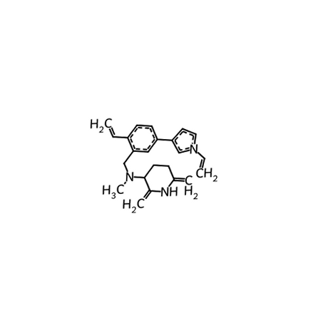 C=Cc1ccc(-c2ccn(C=C)c2)cc1CN(C)C1CCC(=C)NC1=C